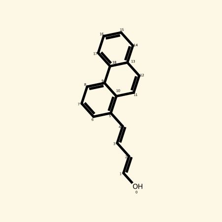 OC=CC=Cc1cccc2c1ccc1ccccc12